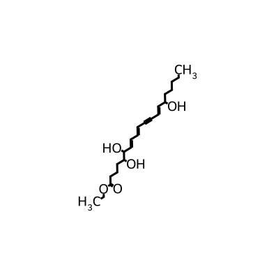 CCCCCC(O)C=CC#CC=CC=CC(O)C(O)CCCC(=O)OCC